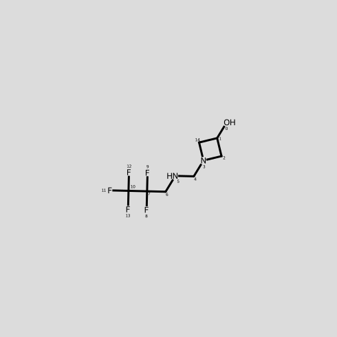 OC1CN(CNCC(F)(F)C(F)(F)F)C1